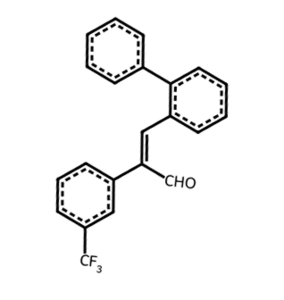 O=CC(=Cc1ccccc1-c1ccccc1)c1cccc(C(F)(F)F)c1